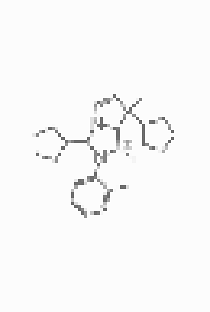 Cc1ccccc1N1C(C2CCCC2)N2C=CC(C)(C3CCCC3)C2[C@@H]1C